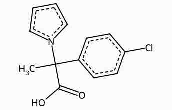 CC(C(=O)O)(c1ccc(Cl)cc1)n1cccc1